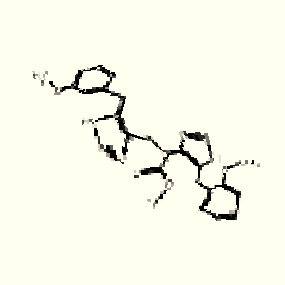 COC(=O)N(Cc1nn[nH]c1Cc1cccc(OC)c1)c1nn[nH]c1Cc1ccccc1OC